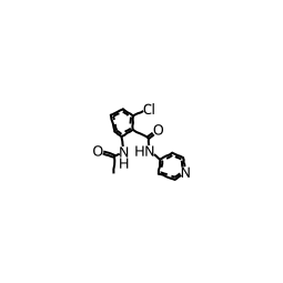 CC(=O)Nc1cccc(Cl)c1C(=O)Nc1ccncc1